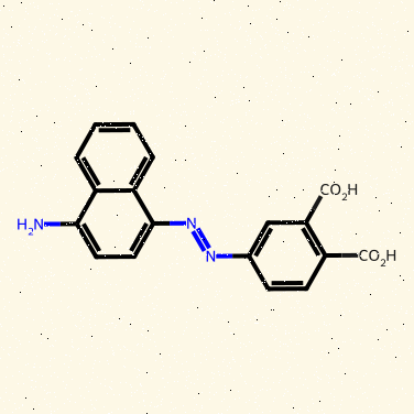 Nc1ccc(N=Nc2ccc(C(=O)O)c(C(=O)O)c2)c2ccccc12